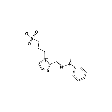 CN(/N=C/c1scc[n+]1CCCS(=O)(=O)[O-])c1ccccc1